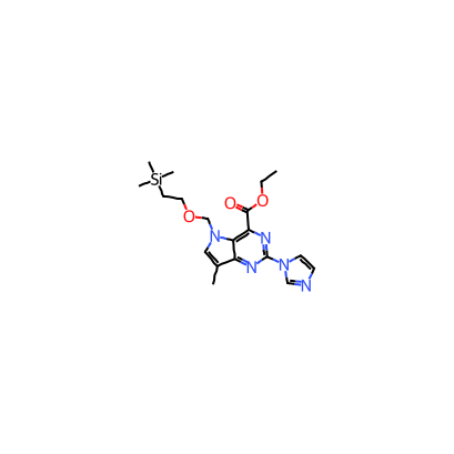 CCOC(=O)c1nc(-n2ccnc2)nc2c(C)cn(COCC[Si](C)(C)C)c12